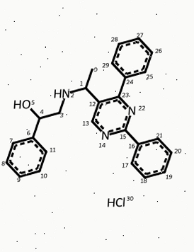 CC(NCC(O)c1ccccc1)c1cnc(-c2ccccc2)nc1-c1ccccc1.Cl